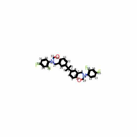 CC(C)(c1ccc2c(c1)CN(c1ccc(F)cc1F)CO2)c1ccc2c(c1)CN(c1ccc(F)cc1F)CO2